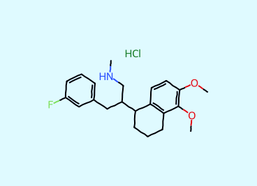 CNCC(Cc1cccc(F)c1)C1CCCc2c1ccc(OC)c2OC.Cl